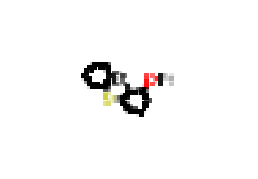 CCOc1cccc(Sc2ccccc2)c1CC